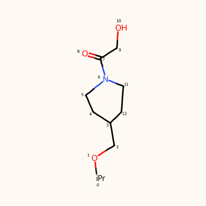 CC(C)OCC1CCN(C(=O)CO)CC1